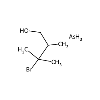 CC(CO)C(C)(C)Br.[AsH3]